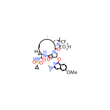 COc1ccc2c(O[C@@H]3C[C@H]4C(=O)N[C@]5(C(=O)NS(=O)(=O)C6CC6)C[C@H]5/C=C\CC[C@H](C)C[C@@H](C)[C@H](N(C(=O)O)C(C)(C)C(F)(F)F)C(=O)N4C3)nc(N(C)C)cc2c1